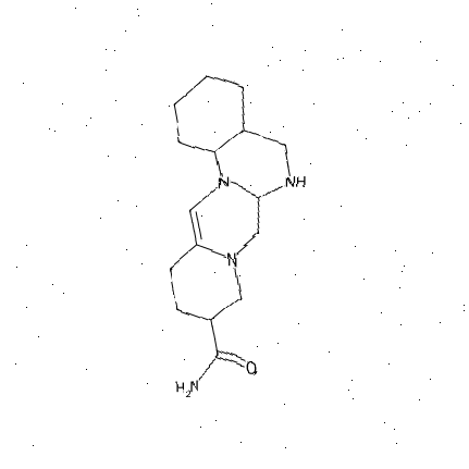 NC(=O)C1CCC2=CN3C(CN2C1)NCC1CCCCC13